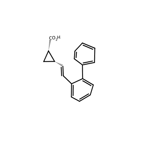 O=C(O)[C@H]1C[C@H]1/C=C/c1ccccc1-c1ccccc1